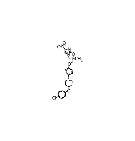 C[C@]1(COc2ccc(N3CCC(Oc4ccc(Cl)cc4)CC3)cc2)Cn2cc([N+](=O)[O-])nc2O1